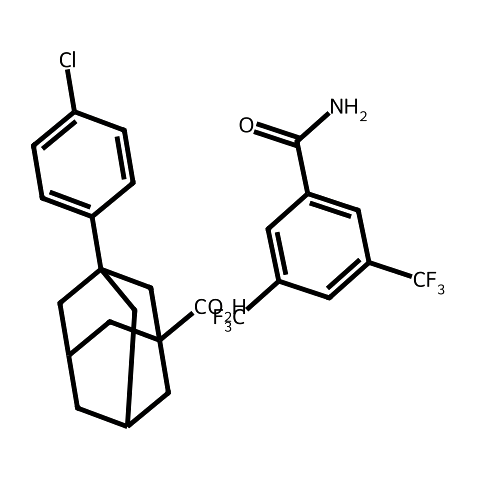 NC(=O)c1cc(C(F)(F)F)cc(C(F)(F)F)c1.O=C(O)C12CC3CC(C1)CC(c1ccc(Cl)cc1)(C3)C2